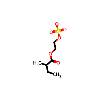 CCC(C)C(=O)OCCOS(=O)(=O)O